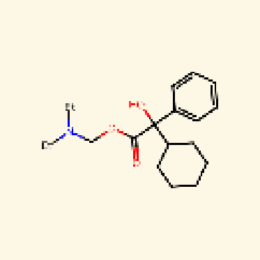 CCN(CC)COC(=O)C(O)(c1ccccc1)C1CCCCC1